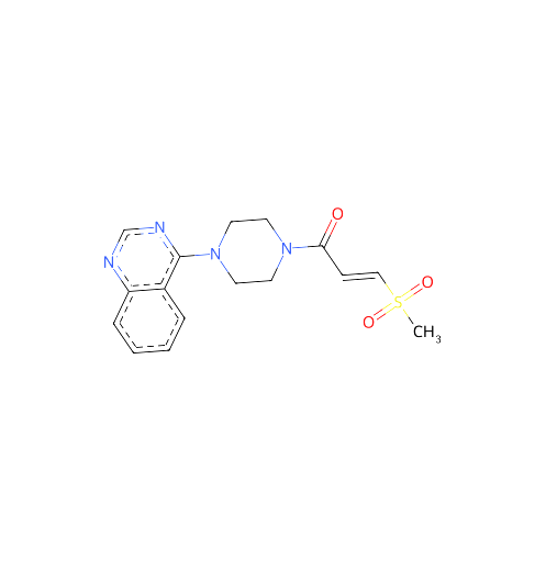 CS(=O)(=O)C=CC(=O)N1CCN(c2ncnc3ccccc23)CC1